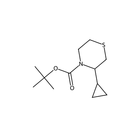 CC(C)(C)OC(=O)N1CCSCC1C1CC1